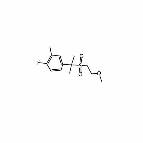 COCCS(=O)(=O)C(C)(C)c1ccc(F)c(C)c1